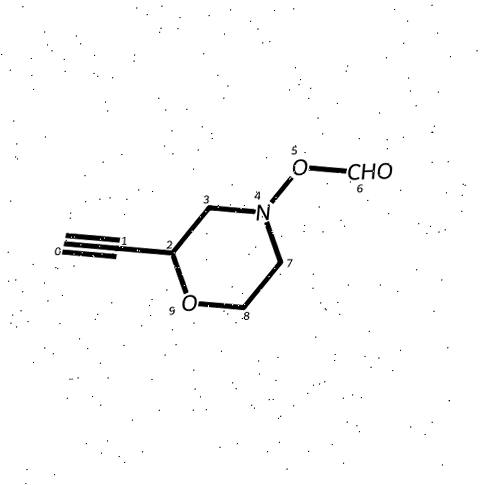 C#CC1CN(OC=O)CCO1